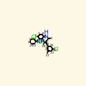 C=C(Nc1ccc(Cl)c(NC2=CCCC=C2)c1)C1C(c2cc(C)cc(Cl)c2)C1(C)Cl